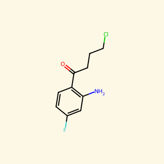 Nc1cc(F)ccc1C(=O)CCCCl